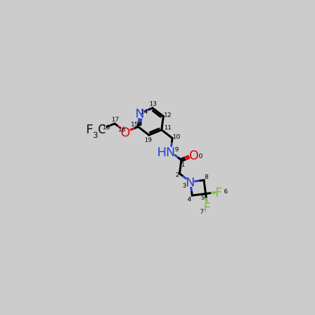 O=C(CN1CC(F)(F)C1)NCc1ccnc(OCC(F)(F)F)c1